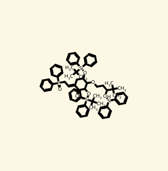 C=C1C(=CCP(=O)(c2ccccc2)c2ccccc2)CC(O[Si](c2ccccc2)(c2ccccc2)C(C)(C)C)C(OCCC(O[SiH](c2ccccc2)c2ccccc2)C(C)(C)C)C1O[Si](c1ccccc1)(c1ccccc1)C(C)(C)C